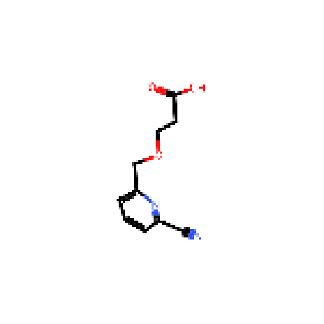 N#Cc1cccc(COCCC(=O)O)n1